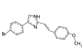 COc1ccc(C=Cc2nc(-c3ccc(Br)cc3)c[nH]2)cc1